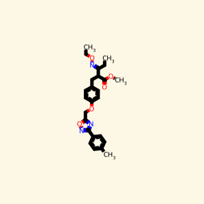 CCON=C(CC)C(Cc1ccc(OCc2nc(-c3ccc(C)cc3)no2)cc1)C(=O)OC